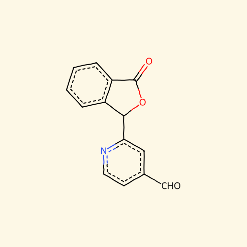 O=Cc1ccnc(C2OC(=O)c3ccccc32)c1